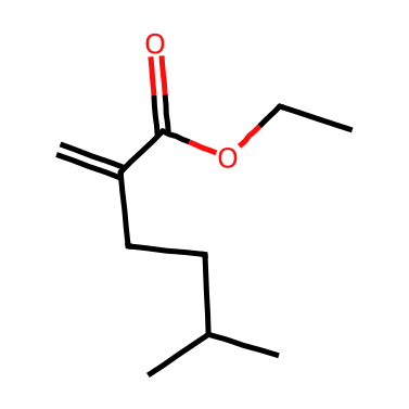 C=C(CCC(C)C)C(=O)OCC